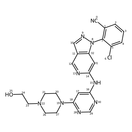 N#Cc1cccc(Cl)c1-n1ncc2cnc(Nc3cc(N4CCN(CCO)CC4)ncn3)cc21